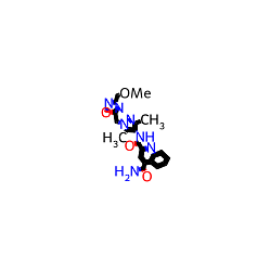 COCc1noc(Cn2nc(C)c(NC(=O)c3cc(C(N)=O)c4ccccc4n3)c2C)n1